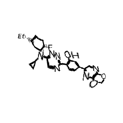 CC[C@@H]1CC[C@H](F)[C@H](N(c2cnc(-c3ccc(-c4cnc5c(n4)OCCO5)cc3O)nn2)C2CC2)C1